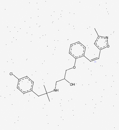 Cc1cc(/C=C\c2ccccc2OCC(O)CNC(C)(C)Cc2ccc(Cl)cc2)on1